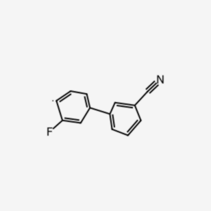 N#Cc1cccc(-c2cc[c]c(F)c2)c1